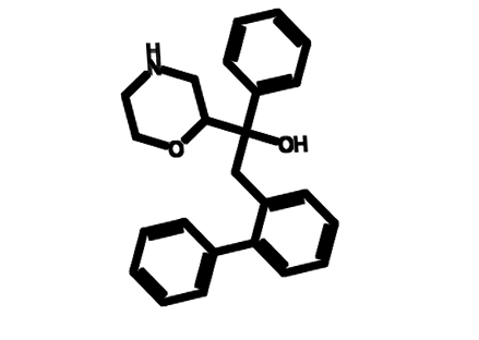 OC(Cc1ccccc1-c1ccccc1)(c1ccccc1)C1CNCCO1